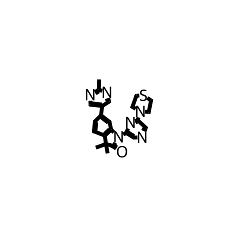 Cc1ncc(-c2ccc3c(c2)N(c2cncc(N4CCSCC4)n2)C(=O)C3(C)C)cn1